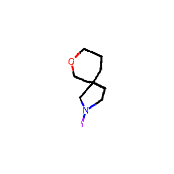 IN1CCC2(CCCOC2)C1